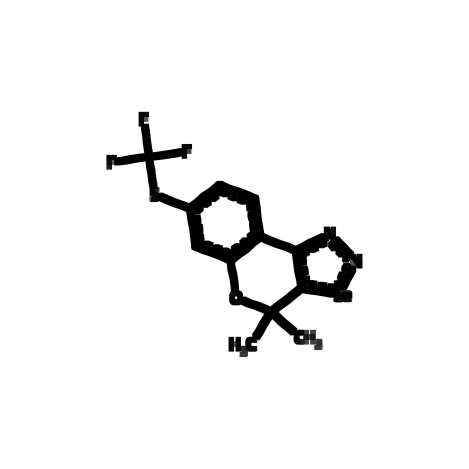 CC1(C)Oc2cc(SC(F)(F)F)ccc2-c2nn[se]c21